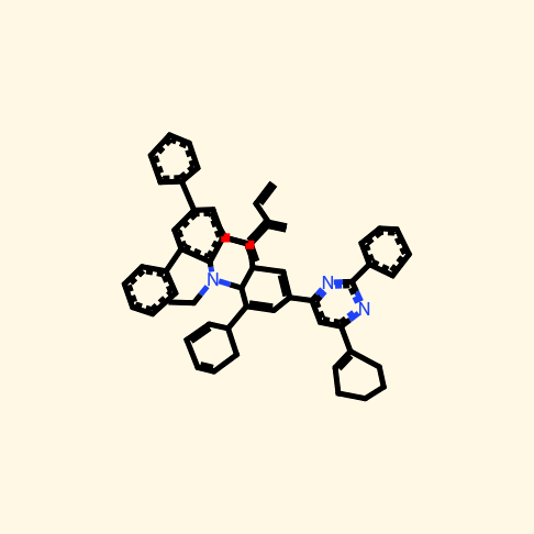 C=C/C=C(\CC)C1C=C(c2cc(C3=CCCCC3)nc(-c3ccccc3)n2)C=C(C2C=CC=CC2)C1N(CC)c1c(C(=C)C=C)cc(-c2ccccc2)cc1-c1ccccc1